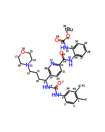 Cc1ccc(NC(=O)NC(CCCN2CCOCC2)c2ccc(C(=O)Nc3ccccc3NC(=O)OC(C)(C)C)nc2)cc1F